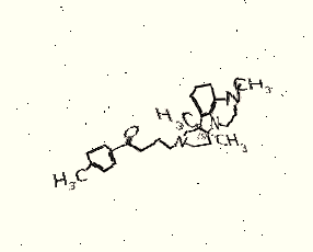 Cc1ccc(C(=O)CCCN2CC[C@]3(C)N4CCN(C)C5=C4C(=CCC5)[C@]3(C)C2)cc1